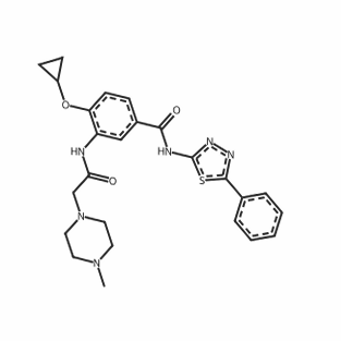 CN1CCN(CC(=O)Nc2cc(C(=O)Nc3nnc(-c4ccccc4)s3)ccc2OC2CC2)CC1